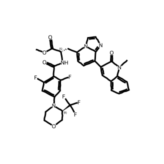 COC(=O)[C@H](Cc1ccc(-c2cc3ccccc3n(C)c2=O)c2nccn12)NC(=O)c1c(F)cc(N2CCOC[C@@H]2C(F)(F)F)cc1F